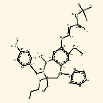 CCCCC1(CC)CN(c2ccccc2)c2cc(SC)c(O/C=C/C(=O)OC(C)(C)C)cc2[S+]([O-])N1Cc1ccc(OC)cc1